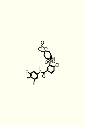 O=C(Nc1cc(F)c(F)c(F)c1)c1ccc(Cl)c(S(=O)(=O)[C@H]2C3CCC2C[C@]2(COS(=O)O2)C3)c1